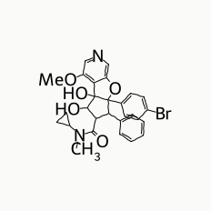 COc1cncc2c1C1(O)C(O)C(C(=O)N(C)C3CC3)C(c3ccccc3)C1(c1ccc(Br)cc1)O2